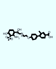 Cc1cc(C(=O)O)ccc1-c1ccc(OCCNC[C@H](O)c2ccc(O)c(S(C)(=O)=O)c2N)cc1